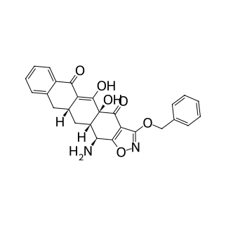 N[C@@H]1c2onc(OCc3ccccc3)c2C(=O)[C@@]2(O)C(O)=C3C(=O)c4ccccc4C[C@H]3C[C@@H]12